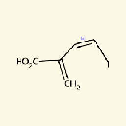 C=C(/C=C\I)C(=O)O